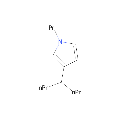 CCCC(CCC)c1ccn(C(C)C)c1